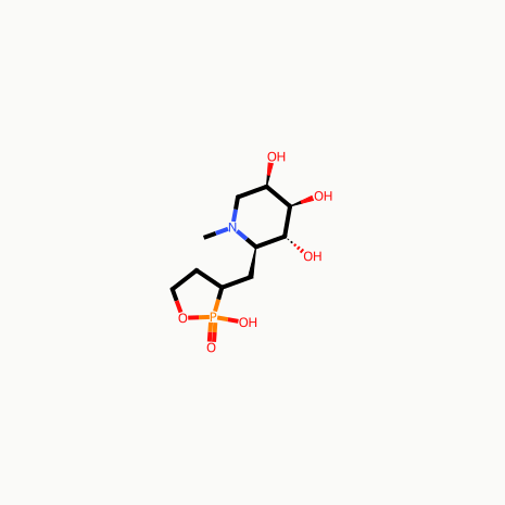 CN1C[C@@H](O)[C@@H](O)[C@H](O)[C@H]1CC1CCOP1(=O)O